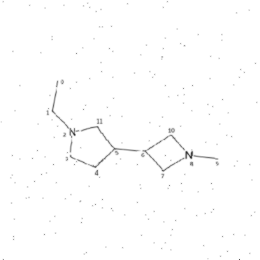 CCN1CCC(C2CN(C)C2)C1